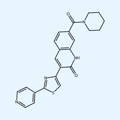 O=C(c1ccc2cc(-c3csc(-c4ccncc4)n3)c(=O)[nH]c2c1)N1CCCCC1